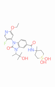 CCOc1cc(-n2c(=O)n(C(C)C(C)(C)O)c3cc(C(=O)NC4(C)CCS(O)(O)CC4)ccc32)c(F)cn1